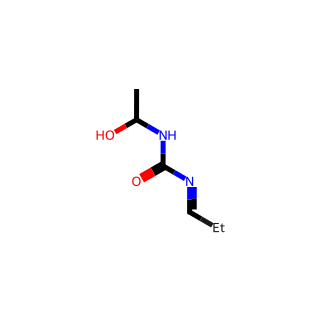 CCC=NC(=O)NC(C)O